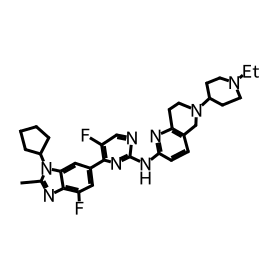 CCN1CCC(N2CCc3nc(Nc4ncc(F)c(-c5cc(F)c6nc(C)n(C7CCCC7)c6c5)n4)ccc3C2)CC1